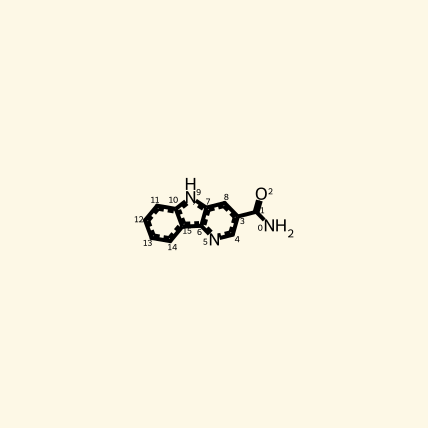 NC(=O)c1cnc2c(c1)[nH]c1ccccc12